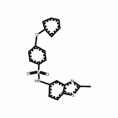 Cc1nc2cc(NS(=O)(=O)c3ccc(Oc4ccccc4)cc3)ccc2s1